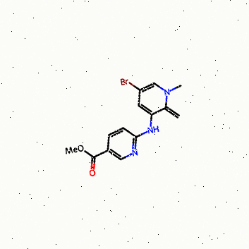 C=C1C(Nc2ccc(C(=O)OC)cn2)=CC(Br)=CN1C